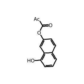 CC(=O)C(=O)Oc1ccc2cccc(O)c2c1